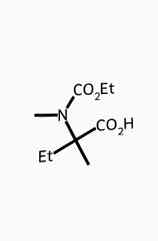 CCOC(=O)N(C)C(C)(CC)C(=O)O